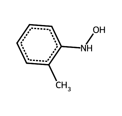 Cc1ccccc1NO